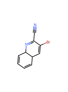 N#CC1=NC2C=CC=CC2C=C1Br